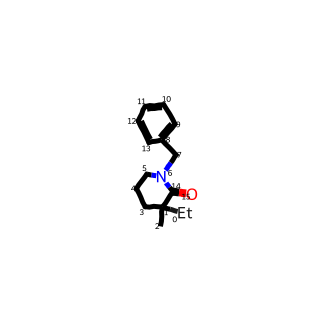 CCC1(C)CCCN(Cc2ccccc2)C1=O